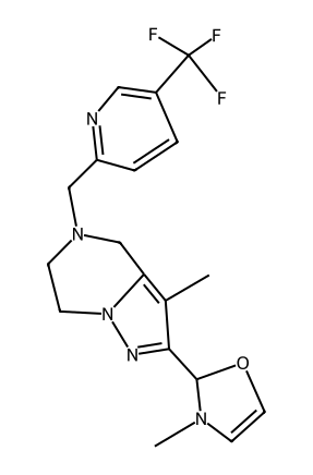 Cc1c(C2OC=CN2C)nn2c1CN(Cc1ccc(C(F)(F)F)cn1)CC2